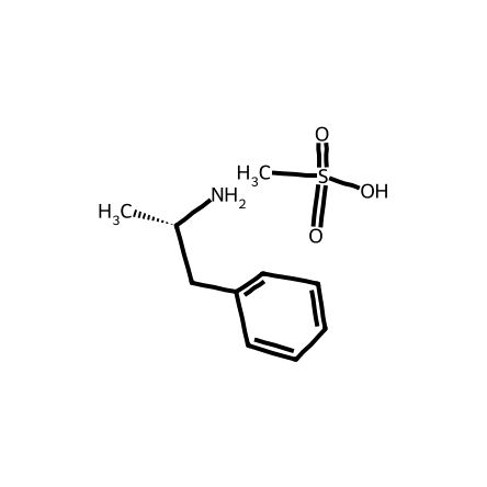 CS(=O)(=O)O.C[C@H](N)Cc1ccccc1